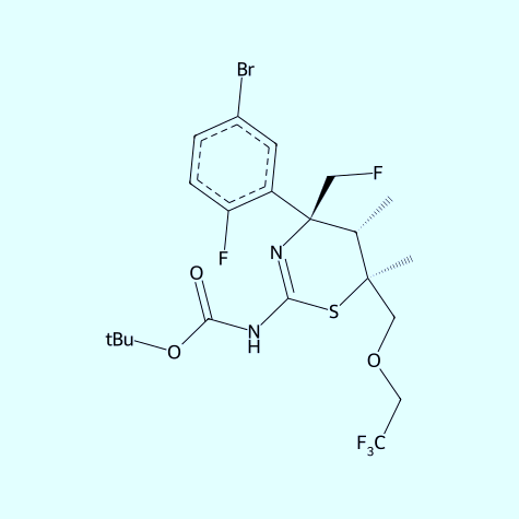 C[C@@H]1[C@@](C)(COCC(F)(F)F)SC(NC(=O)OC(C)(C)C)=N[C@]1(CF)c1cc(Br)ccc1F